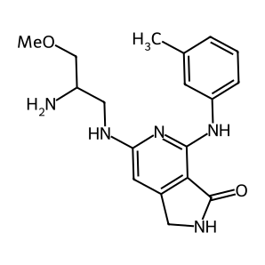 COCC(N)CNc1cc2c(c(Nc3cccc(C)c3)n1)C(=O)NC2